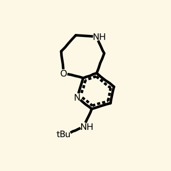 CC(C)(C)Nc1ccc2c(n1)OCCNC2